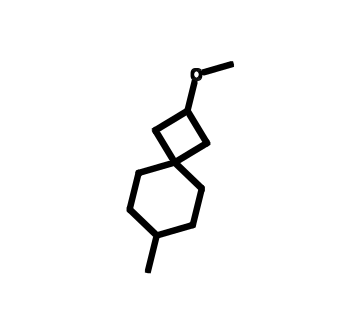 COC1CC2(CCC(C)CC2)C1